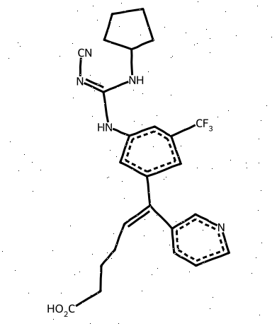 N#CN=C(Nc1cc(C(=CCCCC(=O)O)c2cccnc2)cc(C(F)(F)F)c1)NC1CCCC1